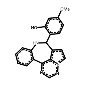 COc1ccc(C2Nc3ccccc3-c3ncnn4ccc2c34)c(O)c1